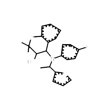 CC(c1ccco1)N(c1ccc(F)cc1)C1c2ccccc2OC(C)(C)C1O